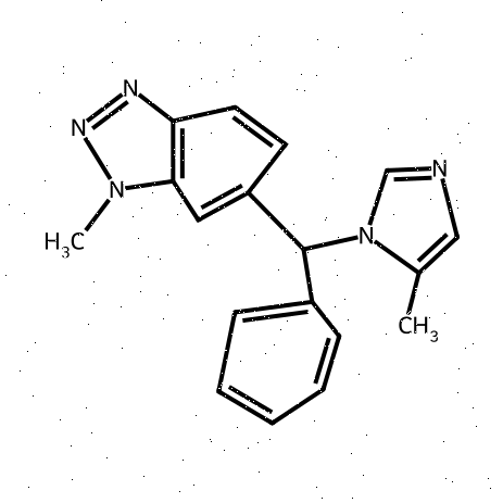 Cc1cncn1C(c1ccccc1)c1ccc2nnn(C)c2c1